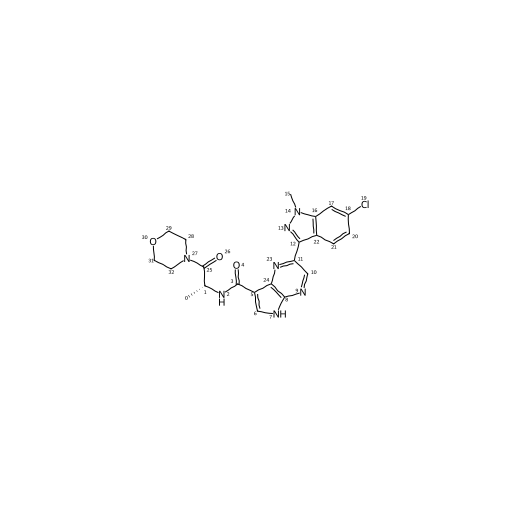 C[C@@H](NC(=O)c1c[nH]c2ncc(-c3nn(C)c4cc(Cl)ccc34)nc12)C(=O)N1CCOCC1